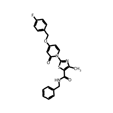 Cc1nc(-n2ccc(OCc3ccc(F)cc3)cc2=O)sc1C(=O)NCc1ccccc1